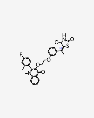 C/C(=C1\SC(=O)NC1=O)c1cccc(OCCOc2c(-c3ccc(F)cc3C)n(C)c3ccccc3c2=O)c1